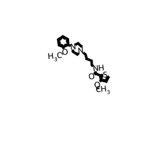 COc1ccccc1N1CCN(CCCCNC(=O)c2sccc2OC)CC1